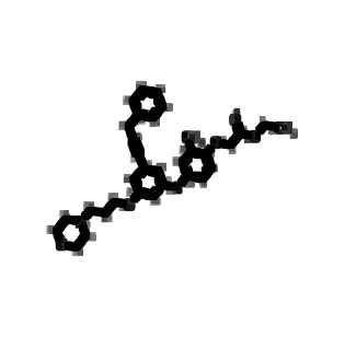 CCOC(=O)COc1ccc(Sc2cc(C#CCc3ccccc3)cc(OCCCN3CCOCC3)c2)cc1C